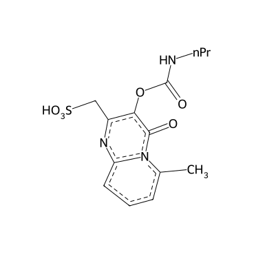 CCCNC(=O)Oc1c(CS(=O)(=O)O)nc2cccc(C)n2c1=O